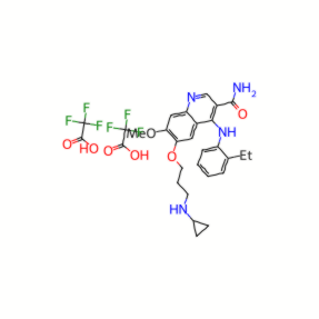 CCc1ccccc1Nc1c(C(N)=O)cnc2cc(OC)c(OCCCNC3CC3)cc12.O=C(O)C(F)(F)F.O=C(O)C(F)(F)F